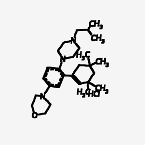 CC(C)CN1CCN(c2ccc(N3CCOCC3)cc2C2=CC(C)(C)CC(C)(C)C2)CC1.Cl